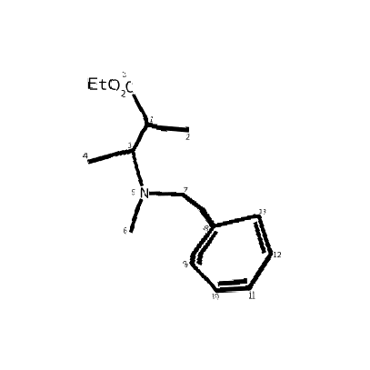 CCOC(=O)C(C)C(C)N(C)Cc1ccccc1